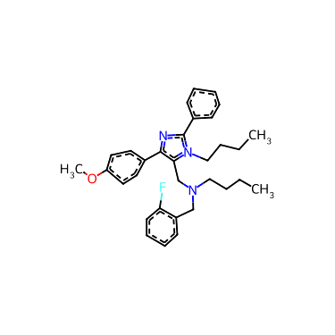 CCCCN(Cc1ccccc1F)Cc1c(-c2ccc(OC)cc2)nc(-c2ccccc2)n1CCCC